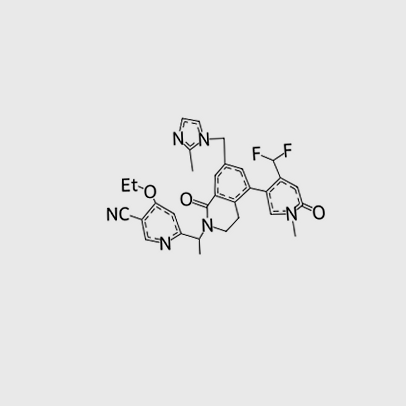 CCOc1cc(C(C)N2CCc3c(cc(Cn4ccnc4C)cc3-c3cn(C)c(=O)cc3C(F)F)C2=O)ncc1C#N